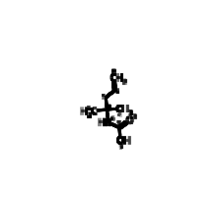 C=CCC(C)(C)NC(=O)O